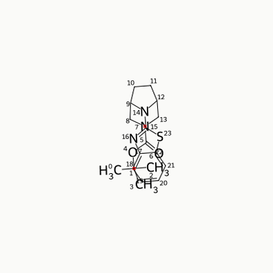 CC(C)(C)OC(=O)N1CC2CCC(C1)N2c1nc2ccccc2s1